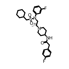 C[C@H](CN(c1cccc(F)c1)S(=O)(=O)CC1CCCCC1)N1CCC(NC(=O)Cc2ccc(F)cc2)CC1